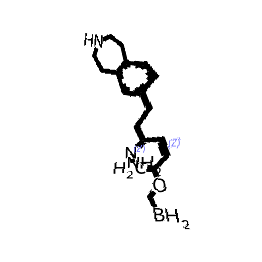 BCOC(=C)/C=C\C(CCc1ccc2c(c1)CCNCC2)=N/N